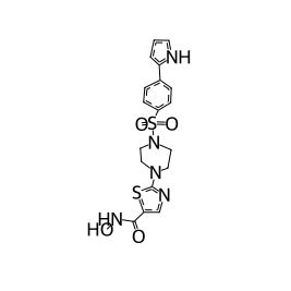 O=C(NO)c1cnc(N2CCN(S(=O)(=O)c3ccc(-c4ccc[nH]4)cc3)CC2)s1